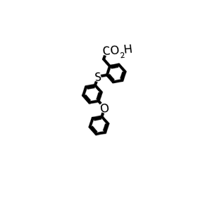 O=C(O)Cc1ccccc1Sc1cccc(Oc2ccccc2)c1